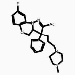 CC(=O)C1=NN2c3cc(F)ccc3OCC2[C@@]1(CCCN1CCN(C)CC1)c1ccccc1